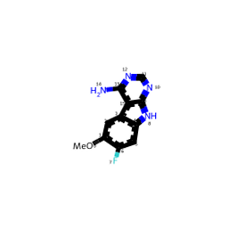 COc1cc2c(cc1F)[nH]c1ncnc(N)c12